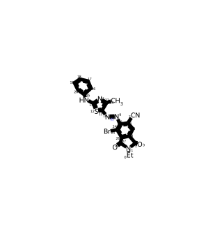 CCN1C(=O)c2cc(C#N)c(/N=N/c3sc(Nc4ccccc4)nc3C)c(Br)c2C1=O